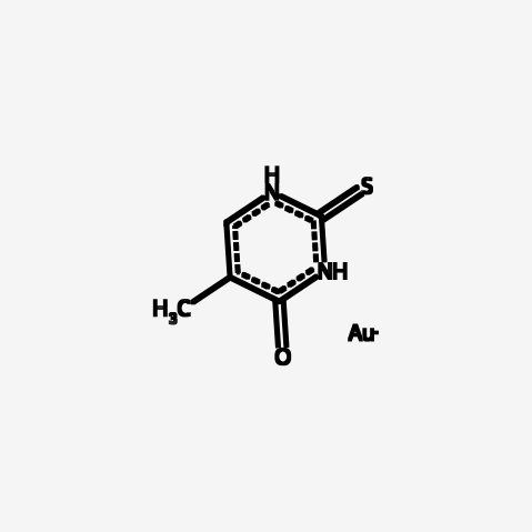 Cc1c[nH]c(=S)[nH]c1=O.[Au]